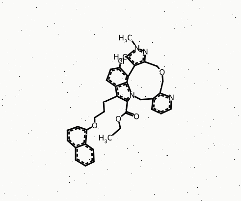 CCOC(=O)c1c(CCCOc2cccc3ccccc23)c2ccc(Cl)c3c2n1Cc1cccnc1COCc1nn(C)c(C)c1-3